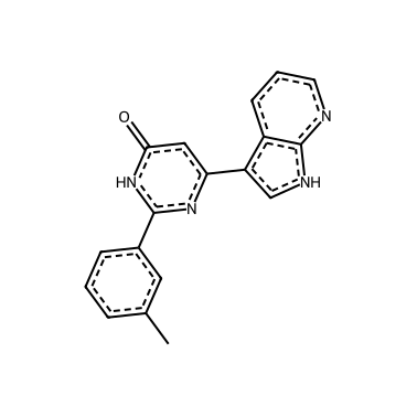 Cc1cccc(-c2nc(-c3c[nH]c4ncccc34)cc(=O)[nH]2)c1